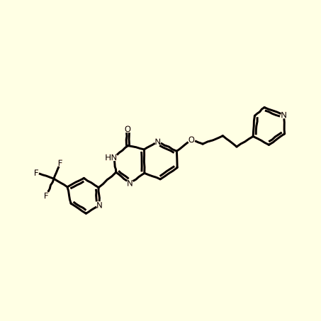 O=c1[nH]c(-c2cc(C(F)(F)F)ccn2)nc2ccc(OCCCc3ccncc3)nc12